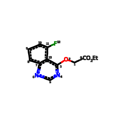 CCOC(=O)COc1ncnc2cccc(F)c12